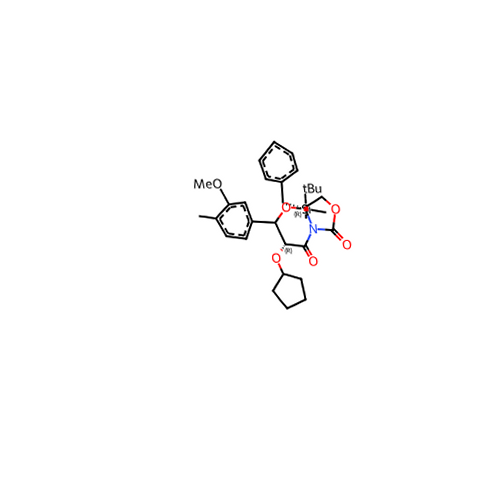 COc1cc(C(O[Si](C)(C)C(C)(C)C)[C@@H](OC2CCCC2)C(=O)N2C(=O)OC[C@H]2Cc2ccccc2)ccc1C